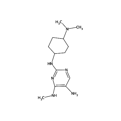 CNc1nc(NC2CCC(N(C)C)CC2)ncc1N